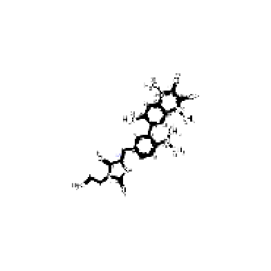 C=CCN1C(=O)S/C(=C\c2ccc(N(C)C)c(-c3cc4c(cc3C)n(C)c(=O)c(=O)n4C)c2)C1=O